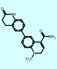 CN1CC=C(C(N)=O)c2cc(-c3ccc4c(c3)CCC(=O)N4)ccc21